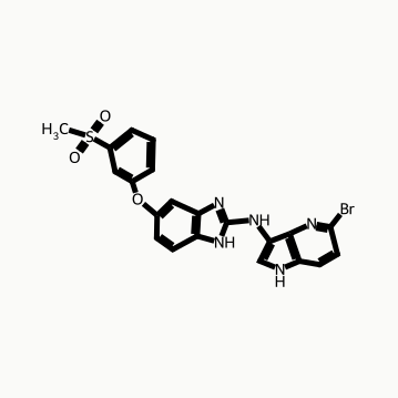 CS(=O)(=O)c1cccc(Oc2ccc3[nH]c(Nc4c[nH]c5ccc(Br)nc45)nc3c2)c1